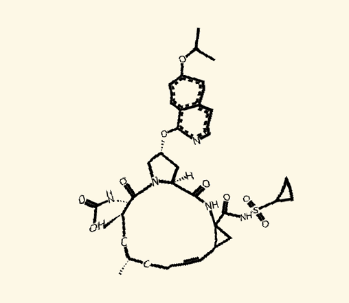 CC(C)Oc1ccc2c(O[C@@H]3C[C@H]4C(=O)NC5(C(=O)NS(=O)(=O)C6CC6)CC5/C=C\CC[C@H](C)C[C@@H](C)[C@H](NC(=O)O)C(=O)N4C3)nccc2c1